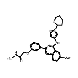 CSc1ccc2nc(-c3cccc(OCC(=O)NC(C)(C)C)c3)nc(Nc3cnn(C4CCCCO4)c3)c2c1